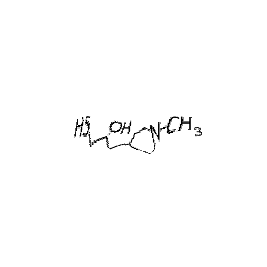 CN1CCC(C[C@@H](O)CS)CC1